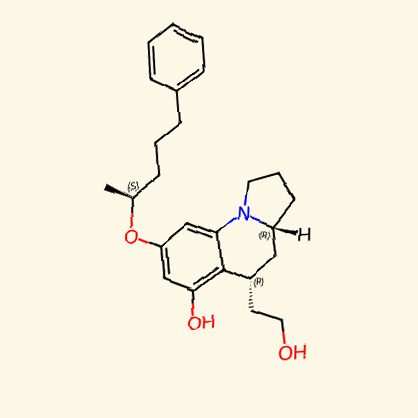 C[C@@H](CCCc1ccccc1)Oc1cc(O)c2c(c1)N1CCC[C@@H]1C[C@@H]2CCO